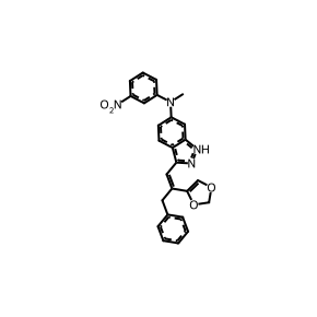 CN(c1cccc([N+](=O)[O-])c1)c1ccc2c(C=C(Cc3ccccc3)C3=COCO3)n[nH]c2c1